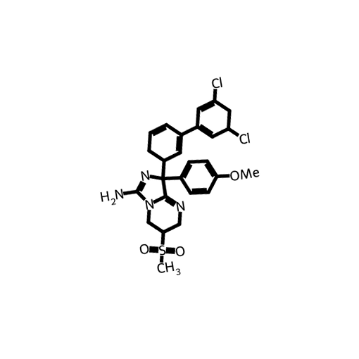 COc1ccc(C2(C3C=C(C4=CC(Cl)CC(Cl)=C4)C=CC3)N=C(N)N3CC(S(C)(=O)=O)CN=C32)cc1